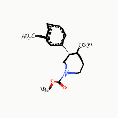 CCOC(=O)C1CCN(C(=O)OC(C)(C)C)C[C@@H]1c1cccc(C(=O)O)c1